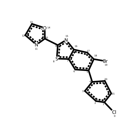 Clc1ccc(-c2cc3sc(-c4ncco4)nc3cc2Br)cc1